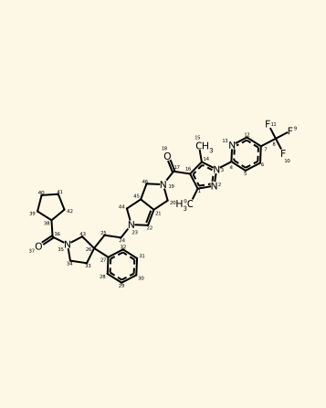 Cc1nn(-c2ccc(C(F)(F)F)cn2)c(C)c1C(=O)N1CC2=CN(CCC3(c4ccccc4)CCN(C(=O)C4CCCC4)C3)CC2C1